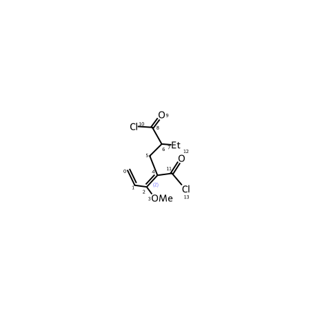 C=C/C(OC)=C(\CC(CC)C(=O)Cl)C(=O)Cl